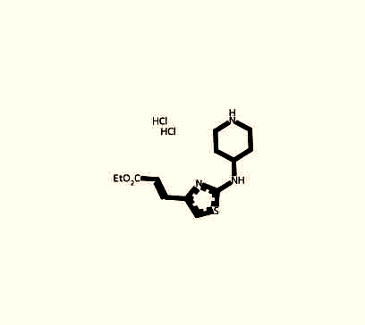 CCOC(=O)C=Cc1csc(NC2CCNCC2)n1.Cl.Cl